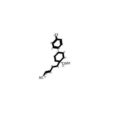 CCc1ccc([C@H]2CC[C@@](CCC=CC#N)(OC)CC2)cc1